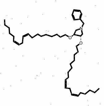 CCCCC/C=C\C/C=C\CCCCCCCCO[C@H]1CN(Cc2ccccc2)C[C@@H]1OCCCCCCCC/C=C\C/C=C\CCCCC